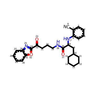 N#Cc1ccccc1NC(CC1CCCCC1)C(=O)NCCCC(=O)c1nc2ccccc2o1